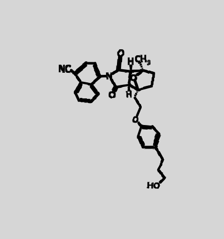 C[C@]12CC[C@](CCOc3ccc(CCCO)cc3)(O1)[C@@H]1C(=O)N(c3ccc(C#N)c4ccccc34)C(=O)[C@@H]12